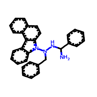 NC(NN(Cc1ccccc1)n1c2ccccc2c2c3ccccc3ccc21)c1ccccc1